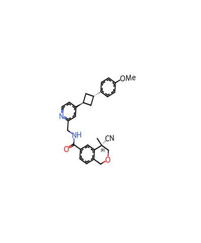 COc1ccc([C@H]2C[C@H](c3ccnc(CNC(=O)c4ccc5c(c4)[C@](C)(C#N)COC5)c3)C2)cc1